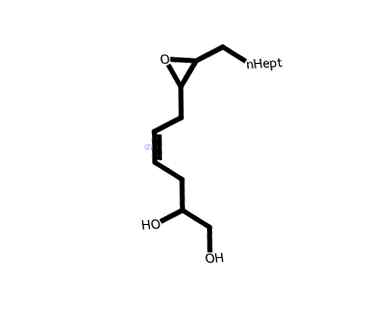 CCCCCCCCC1OC1C/C=C\CC(O)CO